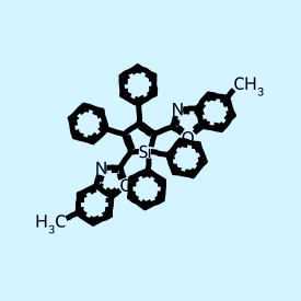 Cc1ccc2oc(C3=C(c4ccccc4)C(c4ccccc4)=C(c4nc5cc(C)ccc5o4)[Si]3(c3ccccc3)c3ccccc3)nc2c1